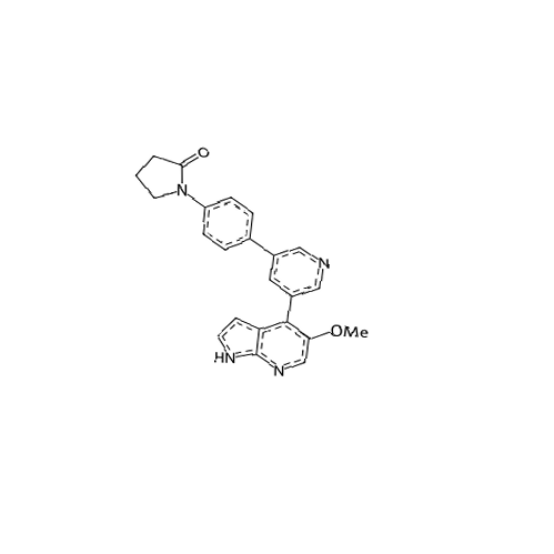 COc1cnc2[nH]ccc2c1-c1cncc(-c2ccc(N3CCCC3=O)cc2)c1